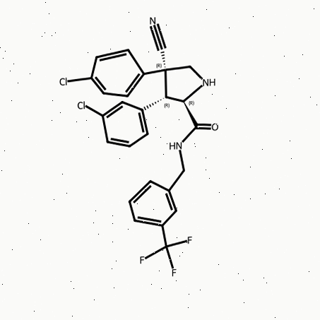 N#C[C@]1(c2ccc(Cl)cc2)CN[C@@H](C(=O)NCc2cccc(C(F)(F)F)c2)[C@@H]1c1cccc(Cl)c1